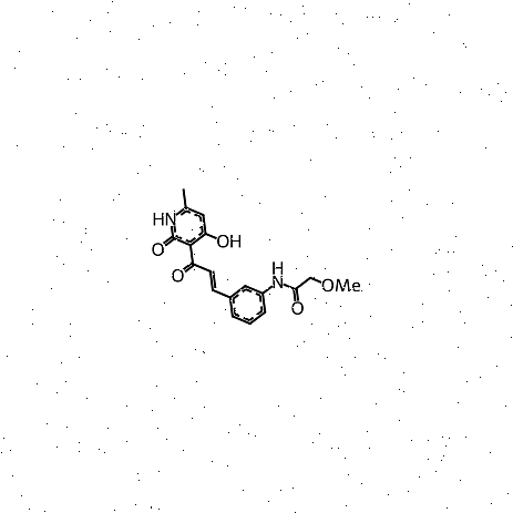 COCC(=O)Nc1cccc(C=CC(=O)c2c(O)cc(C)[nH]c2=O)c1